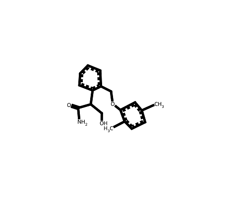 Cc1ccc(C)c(OCc2ccccc2C(CO)C(N)=O)c1